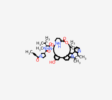 CC#CC(=O)N1CC[C@H](C(=O)N(C)[C@H](C(=O)N[C@H]2Cc3cc(O)cc(c3)-c3ccc4c(c3)c(c(-c3cccnc3C(C)C)n4CC)CC(C)(C)COC(=O)[C@@H]3CCCN(N3)C2=O)C(C)C)C1